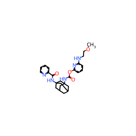 COCCNc1cccc(OC(=O)NC23CC4CC(C2)CC(NC(=O)c2ccccn2)(C4)C3)n1